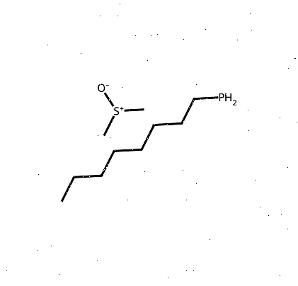 CCCCCCCCP.C[S+](C)[O-]